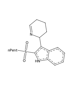 CCCCCS(=O)(=O)c1[nH]c2ccccc2c1C1CCCC=N1